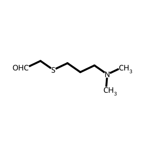 CN(C)CCCSCC=O